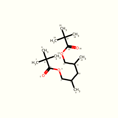 CC(COC(=O)C(C)(C)C)CC(C)COC(=O)C(C)(C)C